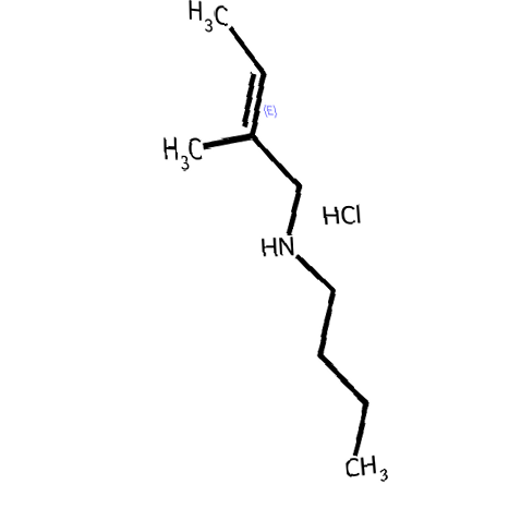 C/C=C(\C)CNCCCC.Cl